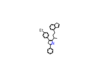 CCc1ccc(C2=C(C(C)CCc3cccc4c3C=CC4)N=C(c3ccccc3)C2)cc1